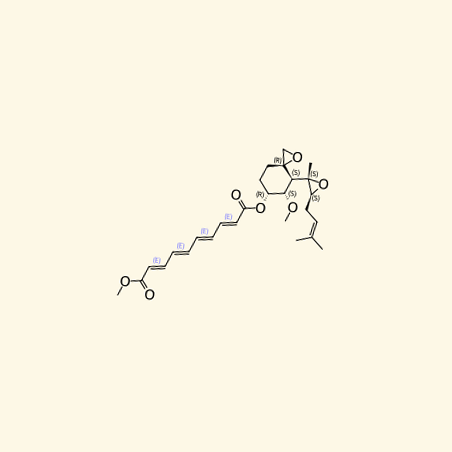 COC(=O)/C=C/C=C/C=C/C=C/C(=O)O[C@@H]1CC[C@]2(CO2)[C@@H]([C@]2(C)O[C@H]2CC=C(C)C)[C@@H]1OC